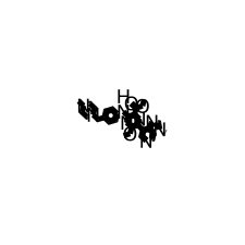 COC(=O)c1nc(-c2cncc3c2ncn3C)c(OC)nc1Nc1ccc(CN2CCN(C)CC2)cc1